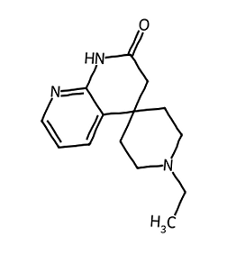 CCN1CCC2(CC1)CC(=O)Nc1ncccc12